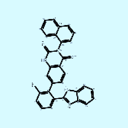 O=c1[nH]c2cc(-c3c(Cl)cccc3-c3nc4ccccc4[nH]3)ccc2c(=O)n1-c1cccc2ccccc12